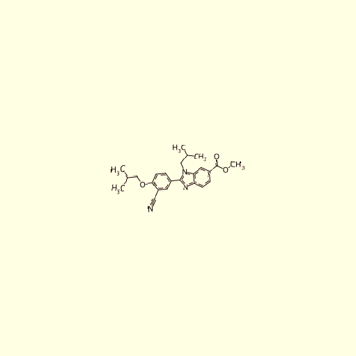 COC(=O)c1ccc2nc(-c3ccc(OCC(C)C)c(C#N)c3)n(CC(C)C)c2c1